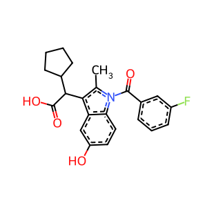 Cc1c(C(C(=O)O)C2CCCC2)c2cc(O)ccc2n1C(=O)c1cccc(F)c1